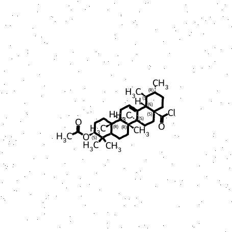 CC(=O)O[C@H]1CC[C@@]2(C)C(CC[C@]3(C)[C@@H]2CC=C2[C@@H]4[C@@H](C)[C@H](C)CC[C@]4(C(=O)Cl)CC[C@]23C)C1(C)C